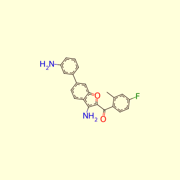 Cc1cc(F)ccc1C(=O)c1oc2cc(-c3cccc(N)c3)ccc2c1N